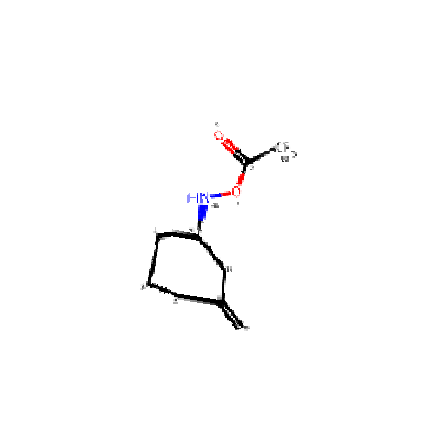 C=C1CCC[C@@H](NOC(=O)C(F)(F)F)C1